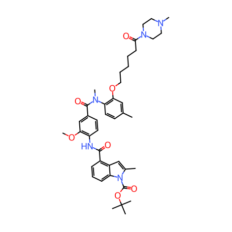 COc1cc(C(=O)N(C)c2ccc(C)cc2OCCCCCC(=O)N2CCN(C)CC2)ccc1NC(=O)c1cccc2c1cc(C)n2C(=O)OC(C)(C)C